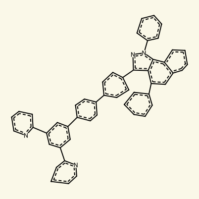 c1ccc(-c2cc3ccccc3c3c2c(-c2ccc(-c4ccc(-c5cc(-c6ccccn6)cc(-c6ccccn6)c5)cc4)cc2)nn3-c2ccccc2)cc1